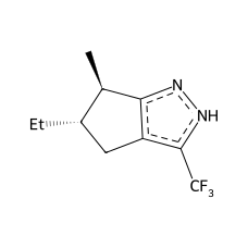 CC[C@H]1Cc2c(n[nH]c2C(F)(F)F)[C@@H]1C